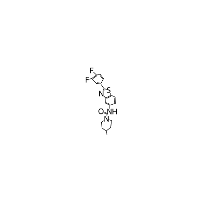 CC1CCN(C(=O)Nc2ccc3sc(-c4ccc(F)c(F)c4)nc3c2)CC1